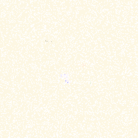 CCCc1ccc(O)c(-c2cc(-c3ccccc3C(F)(F)F)n[nH]2)c1